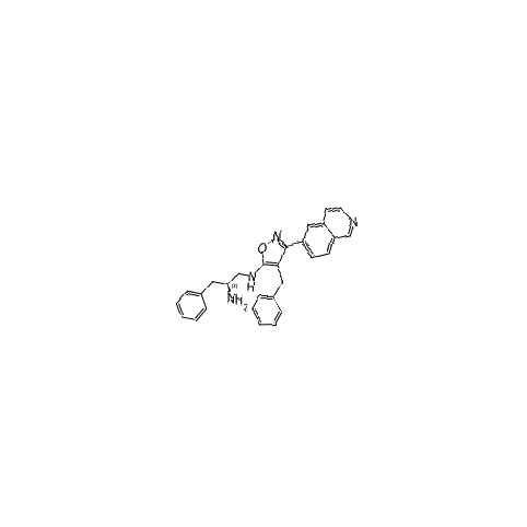 N[C@H](CNc1onc(-c2ccc3cnccc3c2)c1Cc1ccccc1)Cc1ccccc1